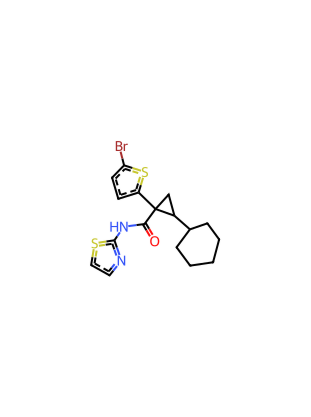 O=C(Nc1nccs1)C1(c2ccc(Br)s2)CC1C1CCCCC1